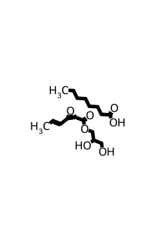 CC=CC1=C(C(=O)OCC(O)CO)O1.CCCCCCCC(=O)O